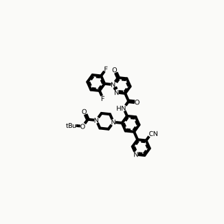 CC(C)(C)OC(=O)N1CCN(c2cc(-c3cnccc3C#N)ccc2NC(=O)c2ccc(=O)n(-c3c(F)cccc3F)n2)CC1